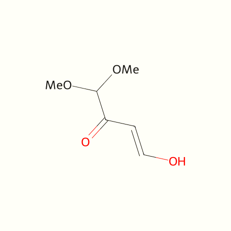 COC(OC)C(=O)/C=C/O